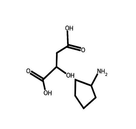 NC1CCCC1.O=C(O)CC(O)C(=O)O